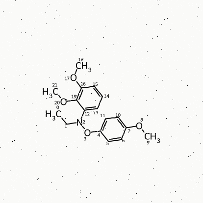 CCN(Oc1ccc(OC)cc1)c1cccc(OC)c1OC